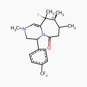 CC1CC(=O)N2C(=CN(C)CC2c2ccc(C(F)(F)F)cc2)C(C)(F)[C@H]1C